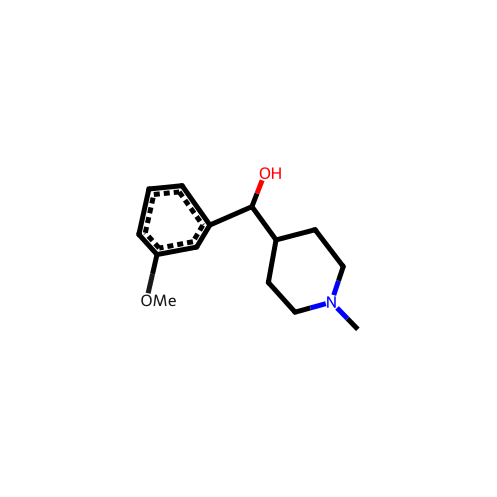 COc1cccc(C(O)C2CCN(C)CC2)c1